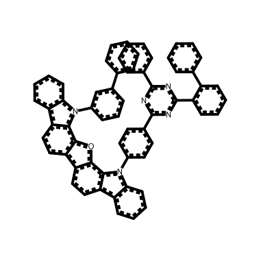 c1ccc(-c2cccc(-n3c4ccccc4c4ccc5c6ccc7c8ccccc8n(-c8ccc(-c9nc(-c%10ccccc%10)nc(-c%10ccccc%10-c%10ccccc%10)n9)cc8)c7c6oc5c43)c2)cc1